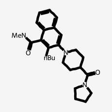 CCCCc1c(N2CCC(C(=O)N3CCCC3)CC2)cc2ccccc2c1C(=O)NC